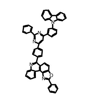 c1ccc(-c2nc(-c3ccc(-c4nc5ccccc5c5c4ccc4oc(-c6ccccc6)nc45)cc3)cc(-c3cccc(-n4c5ccccc5c5ccccc54)c3)n2)cc1